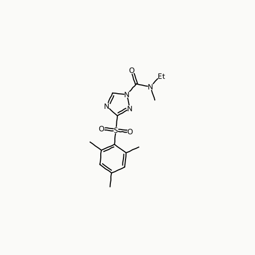 CCN(C)C(=O)n1cnc(S(=O)(=O)c2c(C)cc(C)cc2C)n1